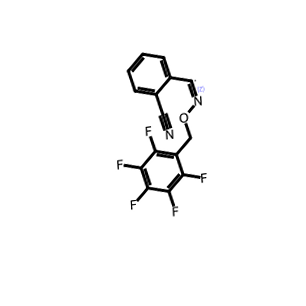 N#Cc1ccccc1/[C]=N\OCc1c(F)c(F)c(F)c(F)c1F